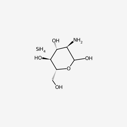 N[C@H]1C(O)O[C@H](CO)[C@@H](O)[C@@H]1O.[SiH4]